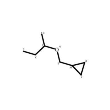 [CH2]C(CC)OCC1CC1